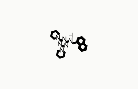 c1ccc2c(CNc3nc(N4CCCCC4)nc(N4CCCCC4)n3)cccc2c1